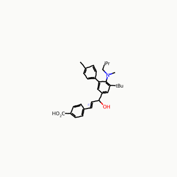 Cc1ccc(-c2cc(C(O)/C=C/c3ccc(C(=O)O)cc3)cc(C(C)(C)C)c2N(C)CC(C)C)cc1